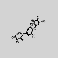 C=C1NC(=O)C=NN1c1cc(Cl)c(Oc2cc(C(C)C)c(=O)[nH]n2)c(Cl)c1